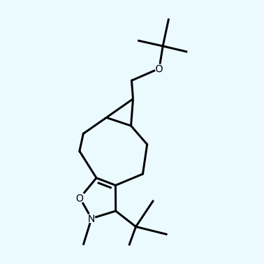 CN1OC2=C(CCC3C(CC2)C3COC(C)(C)C)C1C(C)(C)C